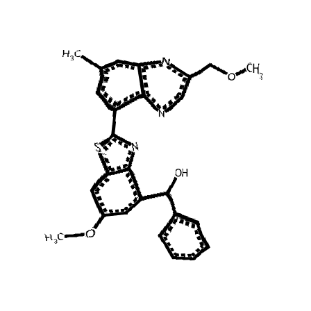 COCc1cnc2c(-c3nc4c(C(O)c5ccccc5)cc(OC)cc4s3)cc(C)cc2n1